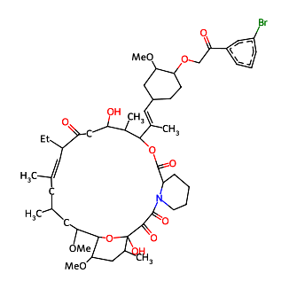 CCC1/C=C(\C)CC(C)CC(OC)C2OC(O)(C(=O)C(=O)N3CCCCC3C(=O)OC(C(C)=CC3CCC(OCC(=O)c4cccc(Br)c4)C(OC)C3)C(C)C(O)CC1=O)C(C)CC2OC